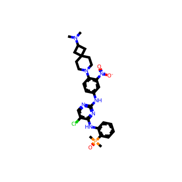 CN(C)C1CC2(CCN(c3ccc(Nc4ncc(Cl)c(Nc5ccccc5P(C)(C)=O)n4)cc3[N+](=O)[O-])CC2)C1